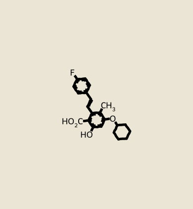 Cc1c(OC2CCCCC2)cc(O)c(C(=O)O)c1C=Cc1ccc(F)cc1